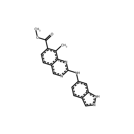 COC(=O)c1ccc2cnc(Nc3ccc4cn[nH]c4c3)nc2c1C